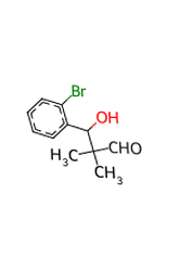 CC(C)(C=O)C(O)c1ccccc1Br